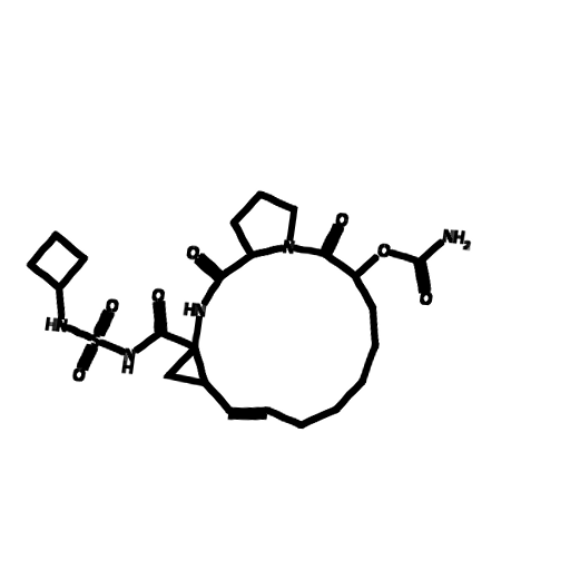 NC(=O)OC1CCCCC/C=C/C2CC2(C(=O)NS(=O)(=O)NC2CCC2)NC(=O)C2CCCN2C1=O